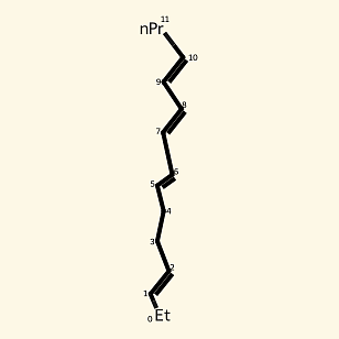 CC/C=C/CC/C=C/C=C/C=C/CCC